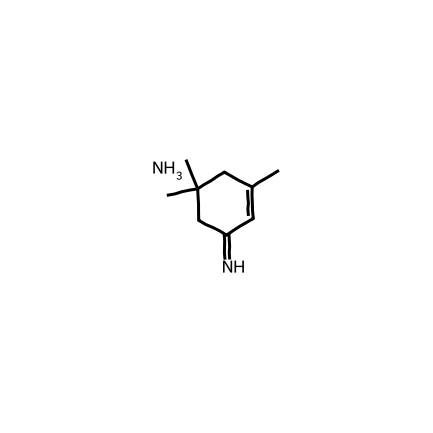 CC1=CC(=N)CC(C)(C)C1.N